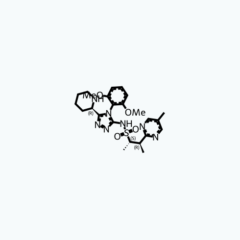 COc1cccc(OC)c1-n1c(NS(=O)(=O)[C@@H](C)[C@H](C)c2ncc(C)cn2)nnc1[C@H]1CCCCN1